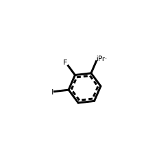 C[C](C)c1cccc(I)c1F